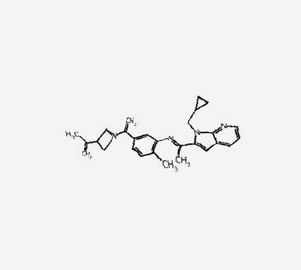 C=C(C)C1CN(C(=C)c2ccc(C)c(/N=C(\C)c3cc4cccnc4n3CC3CC3)c2)C1